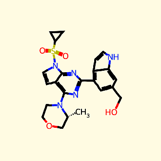 C[C@@H]1COCCN1c1nc(-c2cc(CO)cc3[nH]ccc23)nc2c1ccn2S(=O)(=O)C1CC1